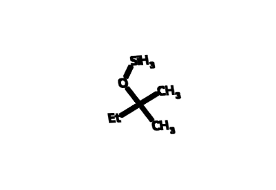 CCC(C)(C)O[SiH3]